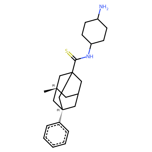 C[C@]12CC3CC(C(=S)NC4CCC(N)CC4)(C1)C[C@@](c1ccccc1)(C3)C2